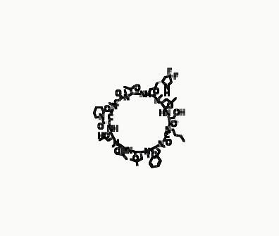 CCCCN1CC(=O)N(C)[C@@H](Cc2ccccc2)C(=O)N(C)[C@@H](CC(C)C)C(=O)N[C@@H](C(C)C)C(=O)N(C)[C@@H](CC(C)C)C(O)N[C@H](C(=O)N2CCCCC2)CC(=O)N(C)CC(=O)N(C)[C@@H](C(C)C)C(=O)N[C@@H](CCC[C@@H]2CC(F)(F)CN2)C(=O)N(C)[C@@H](CC(C)C)C(=O)N[C@@H]([C@@H](C)O)C1=O